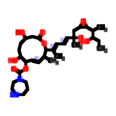 CCC(O)C(C)C1OC1CC(C)(O)/C=C/C=C(\C)C1OC(=O)CC(O)CCC(O)C(OC(=O)N2CCCNCC2)/C=C/C1C